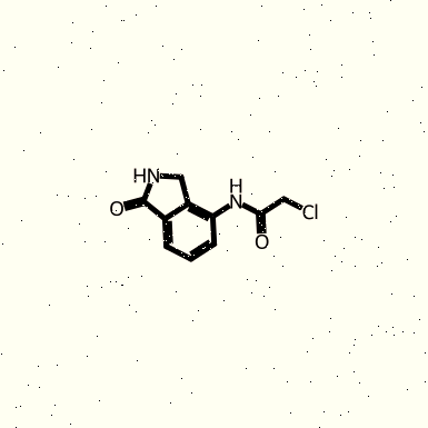 O=C(CCl)Nc1cccc2c1CNC2=O